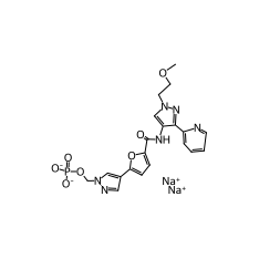 COCCn1cc(NC(=O)c2ccc(-c3cnn(COP(=O)([O-])[O-])c3)o2)c(-c2ccccn2)n1.[Na+].[Na+]